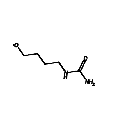 NC(=O)NCCCC[O]